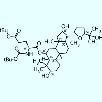 CC(C)(C)OC(=O)CC[C@H](NC(=O)OC(C)(C)C)C(=O)O[C@H]1CC2C3(CC[C@]4(C)[C@@H](C5CC[C@@H](C(C)(C)O)O5)[C@@H](O)C[C@@]24C)C[C@@]32CC[C@H](O)C(C)(C)[C@H]12